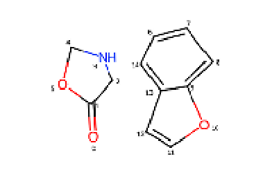 O=C1CNCO1.c1ccc2occc2c1